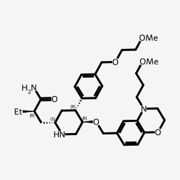 CC[C@H](C[C@@H]1C[C@H](c2ccc(COCCOC)cc2)[C@@H](OCc2ccc3c(c2)N(CCCOC)CCO3)CN1)C(N)=O